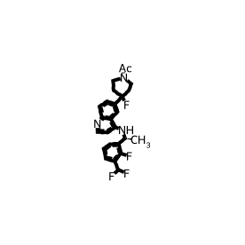 CC(=O)N1CCC(F)(c2ccc3nccc(N[C@H](C)c4cccc(C(F)F)c4F)c3c2)CC1